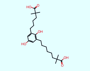 CC(C)(CCCCCCc1cc(O)cc(CCCCC(C)(C)C(=O)O)c1O)C(=O)O